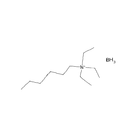 B.CCCCCC[N+](CC)(CC)CC